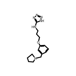 c1cc(CN2CCCC2)cc(OCCCNc2nnn[nH]2)c1